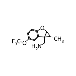 C[C@H]1C2Oc3ccc(OC(F)(F)F)cc3C21CN